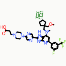 COCC1(CN(C)c2cc(-c3cc(F)cc(C(F)(F)F)c3)nc3nc(-c4cnc(N5CCN(CCC(=O)O)CC5)cn4)[nH]c23)CCCC1.Cl.Cl.Cl